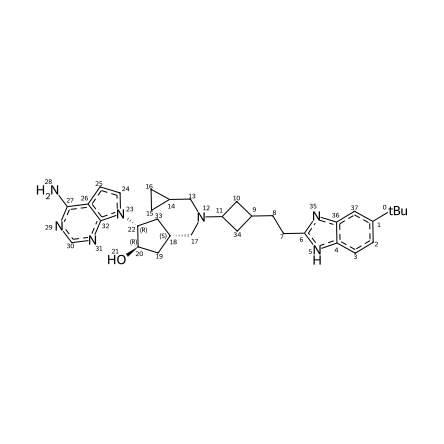 CC(C)(C)c1ccc2[nH]c(CCC3CC(N(CC4CC4)C[C@@H]4C[C@@H](O)[C@H](n5ccc6c(N)ncnc65)C4)C3)nc2c1